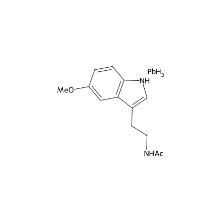 COc1ccc2[nH]cc(CCNC(C)=O)c2c1.[PbH2]